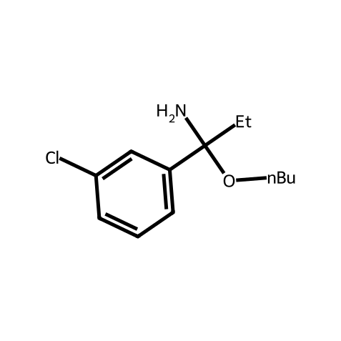 CCCCOC(N)(CC)c1cccc(Cl)c1